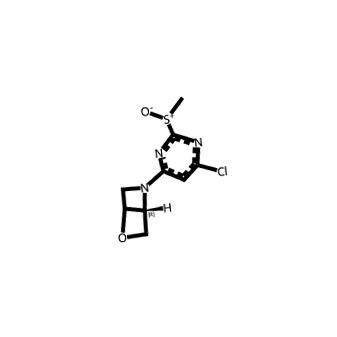 C[S+]([O-])c1nc(Cl)cc(N2CC3OC[C@H]32)n1